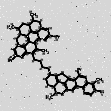 CCc1ccc2c(cc(C(C)C)c3c4c5c(cc32)CC(C)C2CCC(CCCCc3c(C)c6c7cc(C(C)C)nc8c7c7c9c6c6c(cc(C(C)C)cc36)CC9C(C)CC7C(C)C8)C(=C52)C4)c1C